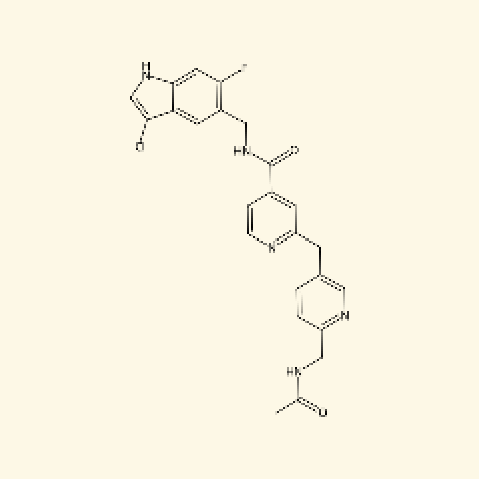 CC(=O)NCc1ccc(Cc2cc(C(=O)NCc3cc4c(Cl)c[nH]c4cc3F)ccn2)cn1